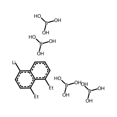 OB(O)O.OB(O)O.OB(O)O.OB(O)O.[Li][c]1ccc(CC)c2c(CC)cccc12